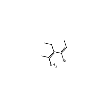 C/C=C(Br)\C(CC)=C(\C)N